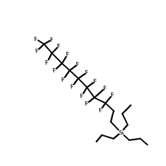 CCC[Si](CCC)(CCC)CCC(F)(F)C(F)(F)C(F)(F)C(F)(F)C(F)(F)C(F)(F)C(F)(F)C(F)(F)F